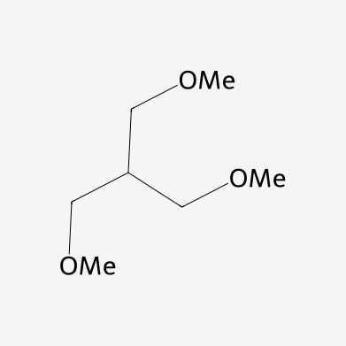 COCC(COC)COC